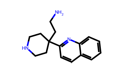 NCCC1(c2c[c]c3ccccc3n2)CCNCC1